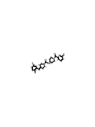 O=C(NC1CCN(C(=O)c2cccc(F)n2)CC1)N1CCC(=Cc2cc(F)ccc2F)CC1